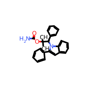 CC(C)(OC(N)=O)C(c1ccccc1)n1c(-c2ccccc2)cc2ccccc21